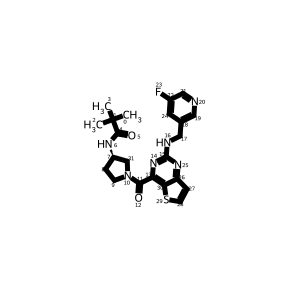 CC(C)(C)C(=O)N[C@H]1CCN(C(=O)c2nc(NCc3cncc(F)c3)nc3ccsc23)C1